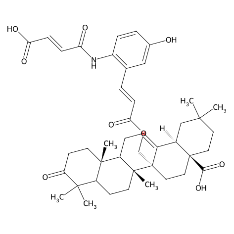 CC1(C)CC[C@]2(C(=O)O)CC[C@]3(COC(=O)/C=C/c4cc(O)ccc4NC(=O)/C=C/C(=O)O)C(=CCC4[C@@]5(C)CCC(=O)C(C)(C)C5CC[C@]43C)[C@H]2C1